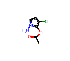 CC(=O)Oc1c(Cl)ccn1N